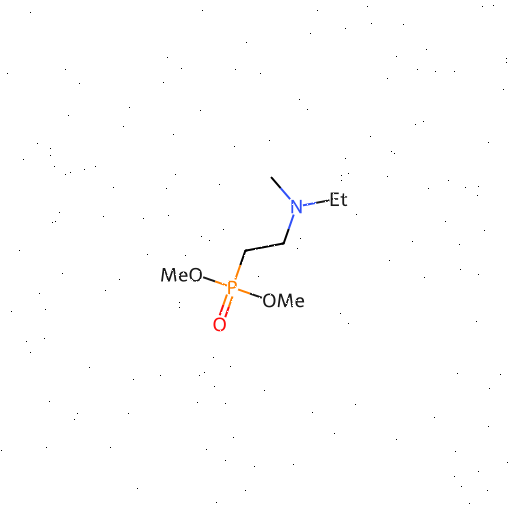 [CH2]CN(C)CCP(=O)(OC)OC